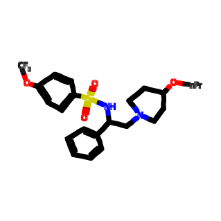 CCCOC1CCN(CC(NS(=O)(=O)c2ccc(OC(F)(F)F)cc2)c2ccccc2)CC1